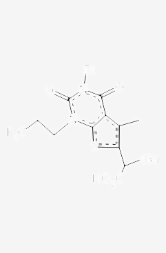 CCn1c(=O)c2c(C)c(C(C(=O)O)C(C)(C)C)sc2n(CCC(F)(F)F)c1=O